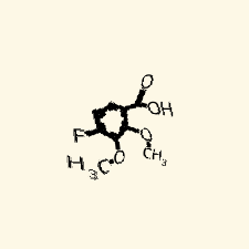 COc1c(F)ccc(C(=O)O)c1OC